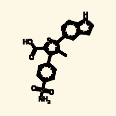 Cc1c(-c2ccc3[nH]ccc3c2)sc(C(=O)O)c1-c1ccc(S(N)(=O)=O)cc1